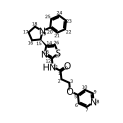 O=C(CCOc1ccncc1)Nc1nc([C@H]2CCCN2c2ccccc2)cs1